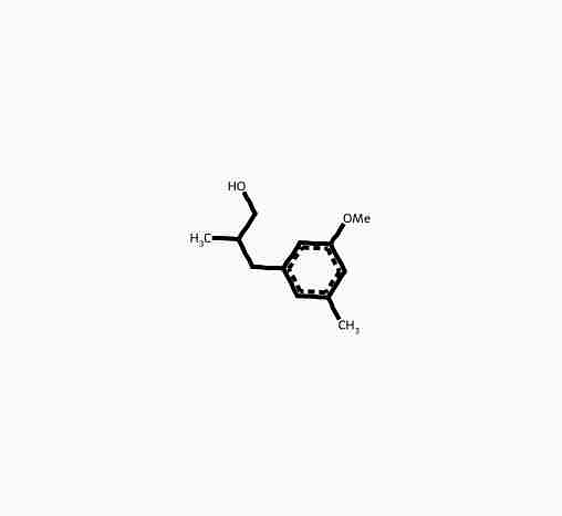 COc1cc(C)cc(CC(C)CO)c1